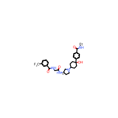 CCNC(=O)c1ccc(C2(O)CCC(N3CC[C@@H](NC(=O)CNC(=O)c4cccc(C(F)(F)F)c4)C3)CC2)cc1